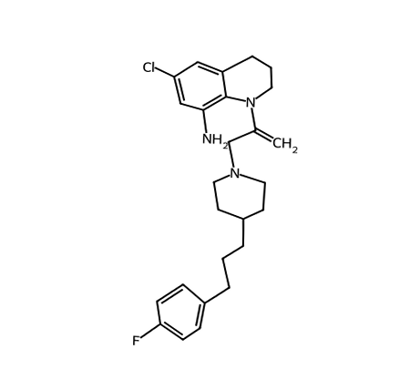 C=C(CN1CCC(CCCc2ccc(F)cc2)CC1)N1CCCc2cc(Cl)cc(N)c21